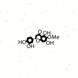 COc1c(O)cc2c(c1O)C(=O)C[C@@H](c1ccc(O)c(O)c1)O2